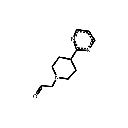 O=[C]CN1CCC(c2ncccn2)CC1